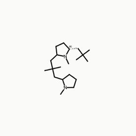 CN1CCCC1CC(C)(C)CC1CC[C@H](CC(C)(C)C)N1C